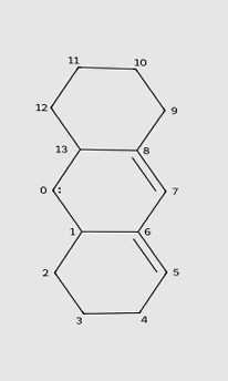 [C]1C2CCCC=C2C=C2CCCCC12